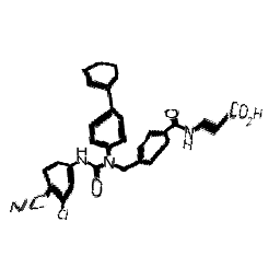 N#Cc1ccc(NC(=O)N(Cc2ccc(C(=O)NCCC(=O)O)cc2)c2ccc(C3CCCCC3)cc2)cc1Cl